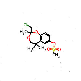 CC1(CCl)OCC(C)(C)c2cc(OS(C)(=O)=O)ccc2O1